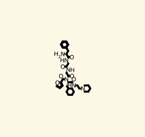 N[C@@H](Cc1ccccc1)C(=O)NCC(=O)NCC(=O)N(C(=O)c1ccco1)[C@@H](CC1CCCCC1)C(=O)NCCN1CCCCC1